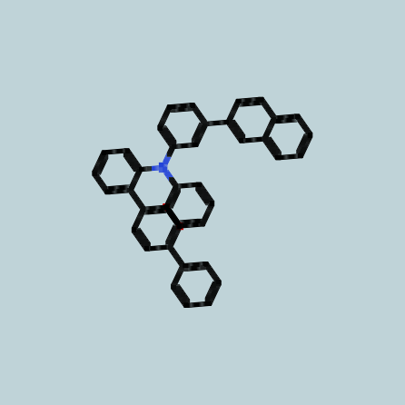 c1ccc(-c2ccc(-c3ccccc3N(c3ccccc3)c3cccc(-c4ccc5ccccc5c4)c3)cc2)cc1